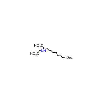 CCCCCCCCCCCCCCCCCCC(NCC(=O)O)C(=O)O